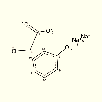 O=C([O-])CCl.[Na+].[Na+].[O-]c1ccccc1